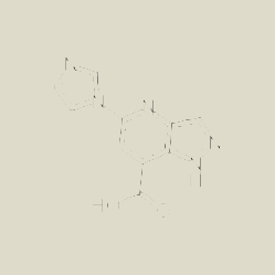 O=C(O)c1cc(-n2ccnc2)nc2cn[nH]c12